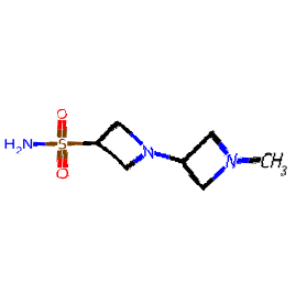 CN1CC(N2CC(S(N)(=O)=O)C2)C1